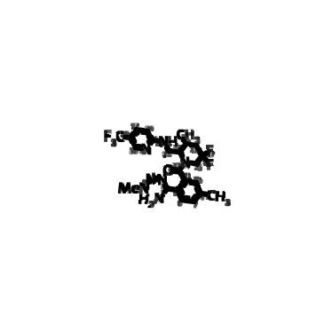 CN/N=N\C(N)c1ccc(C)cc1C(=O)N1CC(F)(F)CC(C)C1CNc1ccc(C(F)(F)F)cn1